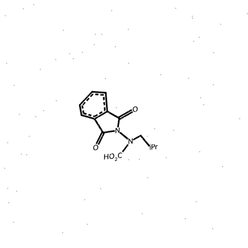 CC(C)CN(C(=O)O)N1C(=O)c2ccccc2C1=O